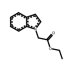 CCOC(=O)Cn1ccc2cc[c]cc21